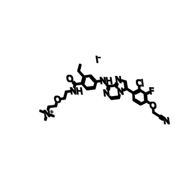 CCc1cc(Nc2nccn3c(-c4ccc(OCC#N)c(F)c4Cl)cnc23)ccc1C(=O)NCCOCC[N+](C)(C)C.[I-]